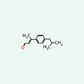 CC(=CC=O)c1ccc(CC(C)C)cc1